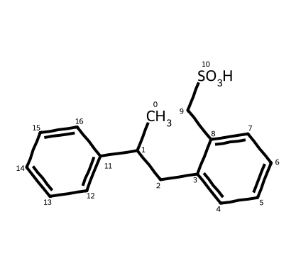 CC(Cc1ccccc1CS(=O)(=O)O)c1ccccc1